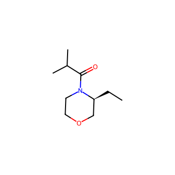 CC[C@H]1COCCN1C(=O)C(C)C